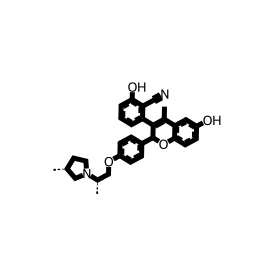 CC1=C(c2cccc(O)c2C#N)C(c2ccc(OC[C@H](C)N3CC[C@@H](C)C3)cc2)Oc2ccc(O)cc21